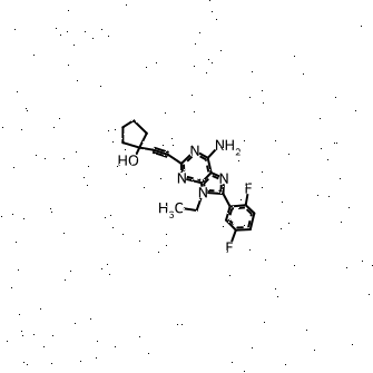 CCn1c(-c2cc(F)ccc2F)nc2c(N)nc(C#CC3(O)CCCC3)nc21